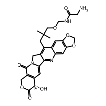 CC(C)(COCNC(=O)CN)Cc1c2c(nc3cc4c(cc13)OCO4)-c1cc3c(c(=O)n1C2)COC(=O)[C@H]3O